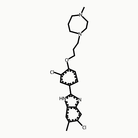 Cc1cc2[nH]c(-c3ccc(OCCCN4CCCN(C)CC4)c(Cl)c3)nc2cc1Cl